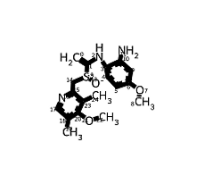 C=C(Nc1ccc(OC)cc1N)[S+]([O-])Cc1ncc(C)c(OC)c1C